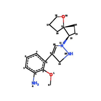 COc1c(N)cccc1C1=CN([C@@H]2CC[C@]23CCCO3)NC1